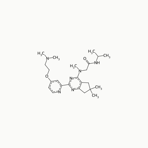 CC(C)NC(=O)CN(C)c1nc(-c2cc(OCCN(C)C)ccn2)nc2c1CC(C)(C)C2